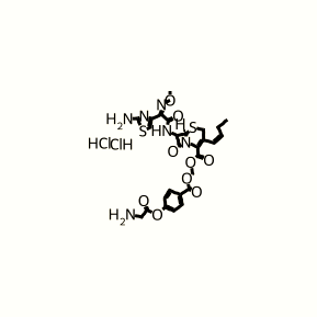 CC/C=C\C1=C(C(=O)OCOC(=O)c2ccc(OC(=O)CN)cc2)N2C(=O)C(NC(=O)/C(=N\OC)c3csc(N)n3)[C@@H]2SC1.Cl.Cl